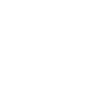 CCCCCC/C=C/C=C/CCCCCCCC(=O)OCC(O)CO